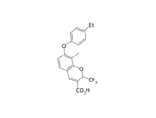 CCc1ccc(Oc2ccc3c(c2C)OC(C(F)(F)F)C(C(=O)O)=C3)cc1